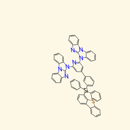 c1ccc([Si](c2ccccc2)(c2cccc(-c3cc(-n4c5ccccc5n5c6ccccc6nc45)nc(-n4c5ccccc5n5c6ccccc6nc45)c3)c2)c2cccc3c2sc2ccccc23)cc1